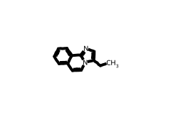 CCc1cnc2c3ccccc3ccn12